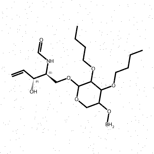 BOC1COC(OC[C@H](NC=O)[C@H](O)C=C)C(OCCCC)C1OCCCC